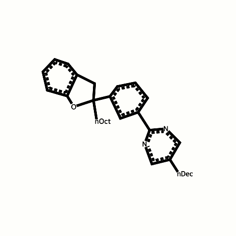 CCCCCCCCCCc1cnc(-c2cccc(C3(CCCCCCCC)Cc4ccccc4O3)c2)nc1